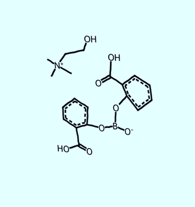 C[N+](C)(C)CCO.O=C(O)c1ccccc1OB([O-])Oc1ccccc1C(=O)O